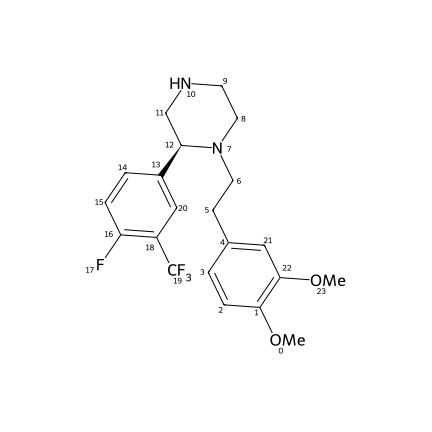 COc1ccc(CCN2CCNC[C@@H]2c2ccc(F)c(C(F)(F)F)c2)cc1OC